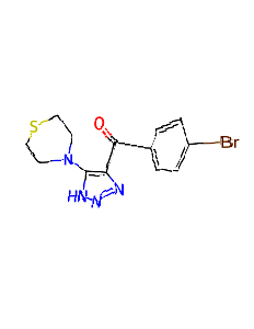 O=C(c1ccc(Br)cc1)c1nn[nH]c1N1CCSCC1